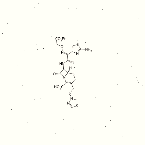 CCOC(=O)CON=C(C(=O)NC1C(=O)N2C(C(=O)O)=C(CSN3CSC=N3)CS[C@@H]12)c1csc(N)n1